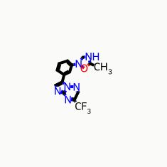 CC1NCN(c2cccc(-c3cnc4nc(C(F)(F)F)cnn34)c2)O1